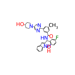 Cc1cc(C(=O)NC(c2cc3ccccc3[nH]2)c2cc(F)ccc2O)cc(-c2ncc(N3CCC(O)CC3)cn2)c1